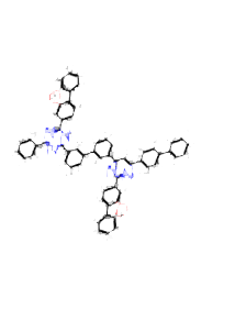 c1ccc(-c2ccc(-c3cc(-c4cccc(-c5cccc(-c6nc(-c7ccccc7)nc(-c7ccc8c(c7)oc7ccccc78)n6)c5)c4)nc(-c4ccc5c(c4)oc4ccccc45)n3)cc2)cc1